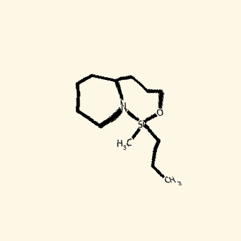 CCC[Si]1(C)OCCC2CCCCN21